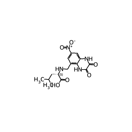 CC(C)C[C@H](NCc1cc([N+](=O)[O-])cc2[nH]c(=O)c(=O)[nH]c12)C(=O)O